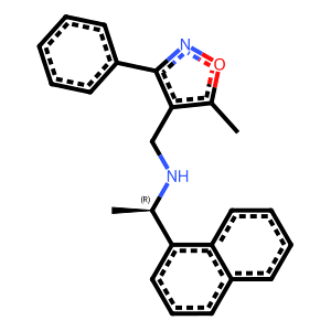 Cc1onc(-c2ccccc2)c1CN[C@H](C)c1cccc2ccccc12